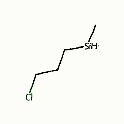 C[SiH]CCCCl